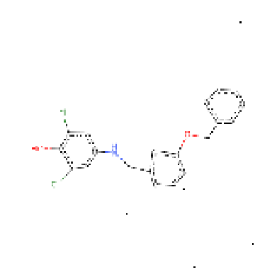 Oc1c(Cl)cc(NCc2cccc(OCc3ccccc3)c2)cc1Cl